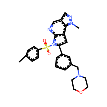 Cc1ccc(S(=O)(=O)n2c(-c3cccc(CN4CCOCC4)c3)cc3c4c(cnc32)cnn4C)cc1